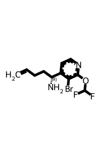 C=CCC[C@@H](N)c1ccnc(OC(F)F)c1Br